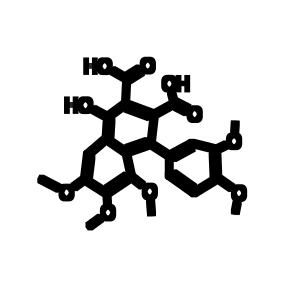 COc1ccc(-c2c(C(=O)O)c(C(=O)O)c(O)c3cc(OC)c(OC)c(OC)c23)cc1OC